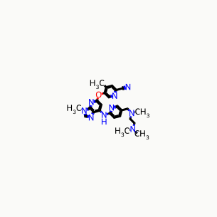 Cc1cc(C#N)ncc1Oc1cc(Nc2ccc(CN(C)CCN(C)C)cn2)c2ncn(C)c2n1